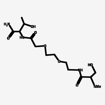 CNC(CO)C(=O)NCCOCCOCC(=O)NC(C(N)=O)C(C)O